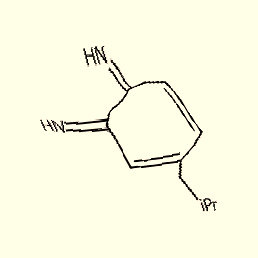 CC(C)C1=CC(=N)C(=N)C=C1